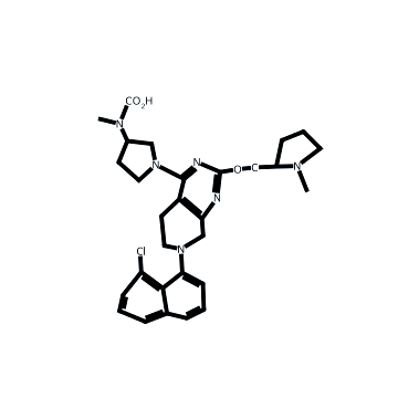 CN1CCCC1COc1nc2c(c(N3CCC(N(C)C(=O)O)C3)n1)CCN(c1cccc3cccc(Cl)c13)C2